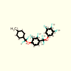 CC1CCC(C(F)(F)Oc2ccc(C(F)(F)Oc3cc(F)c(F)c(F)c3)c(F)c2F)CC1